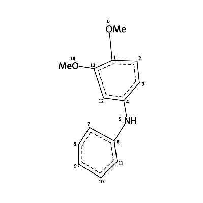 COc1ccc(Nc2cc[c]cc2)cc1OC